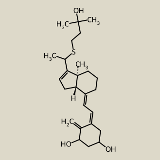 C=C1/C(=C\C=C2/CCC[C@]3(C)C(C(C)SCCC(C)(C)O)=CC[C@@H]23)CC(O)CC1O